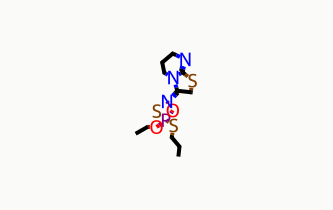 CCCSP(=S)(OCC)ON=C1CSC2=NCCCN12